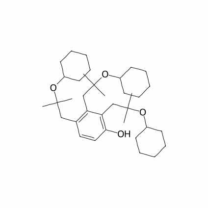 CC(C)(Cc1ccc(O)c(CC(C)(C)OC2CCCCC2)c1CC(C)(C)OC1CCCCC1)OC1CCCCC1